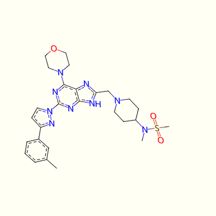 Cc1cccc(-c2ccn(-c3nc(N4CCOCC4)c4nc(CN5CCC(N(C)S(C)(=O)=O)CC5)[nH]c4n3)n2)c1